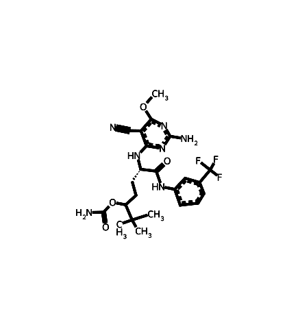 COc1nc(N)nc(N[C@@H](CCC(OC(N)=O)C(C)(C)C)C(=O)Nc2cccc(C(F)(F)F)c2)c1C#N